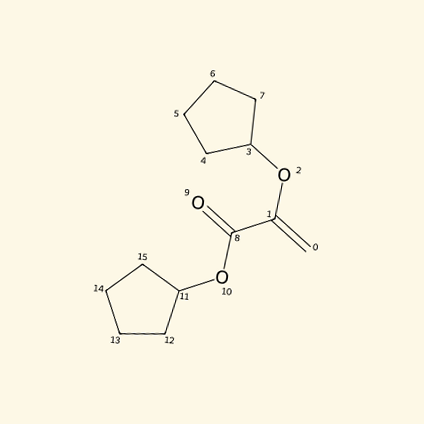 C=C(OC1CCCC1)C(=O)OC1CCCC1